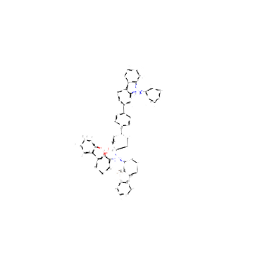 C1=CC(N(C2=CCC(c3ccc(-c4ccc5c6ccccc6n(-c6ccccc6)c5c4)cc3)C=C2)c2cccc3c2oc2ccccc23)C2Sc3ccccc3C2=C1